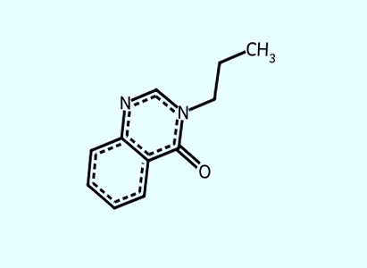 CCCn1cnc2ccccc2c1=O